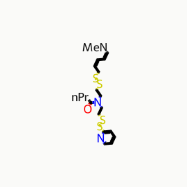 CCCC(=O)N(CCSSC/C=C\C=C/NC)CCSSc1ccccn1